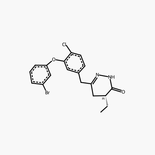 CC[C@@H]1CC(Cc2ccc(Cl)c(Oc3cccc(Br)c3)c2)=NNC1=O